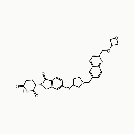 O=C1CCC(N2Cc3cc(OC4CCN(Cc5ccc6nc(COC7COC7)ccc6c5)C4)ccc3C2=O)C(=O)N1